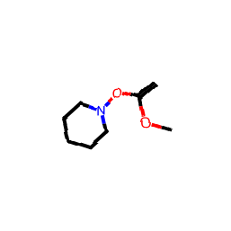 C=C(OC)ON1CCCCC1